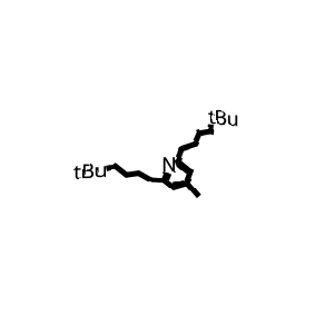 Cc1cc(CCCCC(C)(C)C)nc(CCCCC(C)(C)C)c1